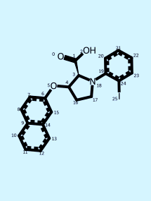 O=C(O)[C@@H]1C(Oc2ccc3ccccc3c2)CCN1c1ccccc1I